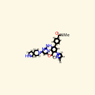 CNC(=O)c1ccc(-c2ccc([C@@H](Oc3cc(N4CCC5(CCNC5)CC4)nc(N)n3)C(F)(F)F)c(-n3ccc(C)n3)c2)cc1